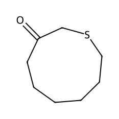 O=C1CCCCCCSC1